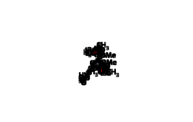 COc1cc2c(cc1OCc1cc(/C=C/C(=O)NCCOCCOCCNC(=O)CCN3C(=O)C=CC3=O)cc(COc3cc4c(cc3OC)C(=O)N3C=C(C)C[C@H]3[C@H](O[Si](C)(C)C(C)(C)C)N4C(=O)OC(C)(C)C)c1)N(C(=O)OC(C)(C)C)[C@@H](O[Si](C)(C)C(C)(C)C)[C@@H]1CC(C)=CN1C2=O